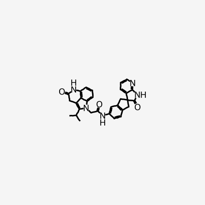 CC(C)c1c2c3c(cccc3n1CC(=O)Nc1ccc3c(c1)CC1(C3)C(=O)Nc3ncccc31)NC(=O)C2